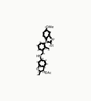 CCc1nc2cc(OC)ccc2n1-c1cccc(CNc2ccc3c(c2)OC(C)[C@H]3OC(C)=O)c1C